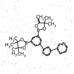 C=C1OB(c2cc(B3OC(C)(C)C(C)(C)O3)cc(-c3cccc(-c4cccnc4)c3)c2)OC1(C)C